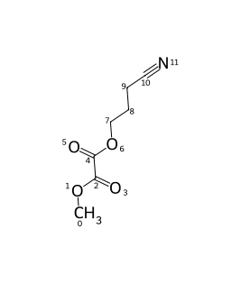 COC(=O)C(=O)OCCCC#N